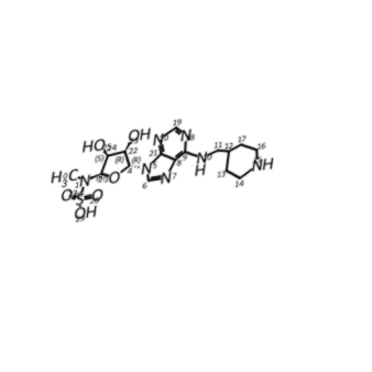 CN([C@@H]1O[C@@H](n2cnc3c(NCC4CCNCC4)ncnc32)[C@H](O)[C@@H]1O)S(=O)(=O)O